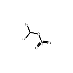 [CH2]CC(O[SH](=O)=O)C(C)C